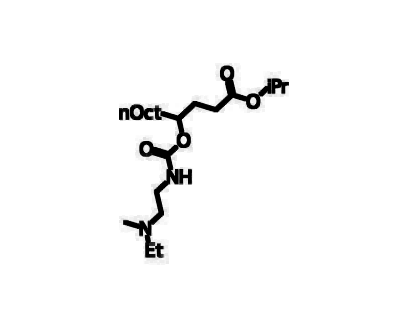 [CH2]C([CH2])OC(=O)CCC(CCCCCCCC)OC(=O)NCCN(C)CC